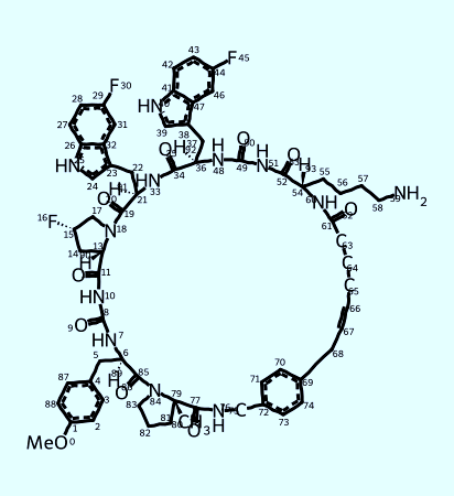 COc1ccc(C[C@H]2NC(=O)NC(=O)[C@@H]3C[C@H](F)CN3C(=O)[C@@H](Cc3c[nH]c4ccc(F)cc34)NC(=O)[C@@H](Cc3c[nH]c4ccc(F)cc34)NC(=O)NC(=O)[C@H](CCCCN)NC(=O)CCC/C=C\Cc3ccc(cc3)CNC(=O)[C@]3(C)CCCN3C2=O)cc1